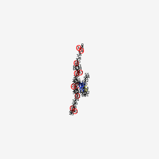 C=CC(=O)OCCCCCCOc1ccc(C(=O)OCCc2ccc(OC(=O)c3ccc(OCCCCCCOC(=O)C=C)cc3)c(/C=N/N(CCCCCC)c3nc4ccccc4s3)c2)cc1